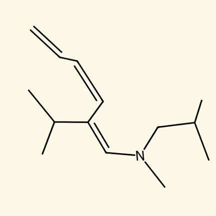 C=C/C=C\C(=C/N(C)CC(C)C)C(C)C